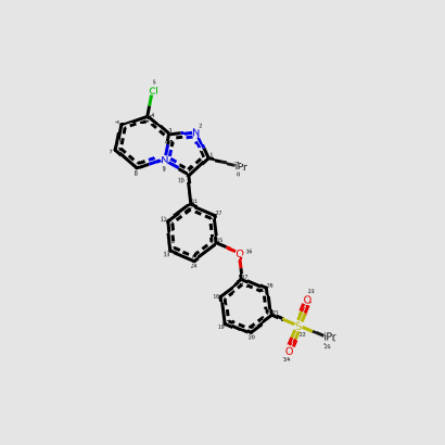 CC(C)c1nc2c(Cl)cccn2c1-c1cccc(Oc2cccc(S(=O)(=O)C(C)C)c2)c1